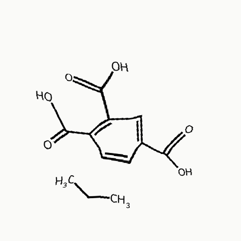 CCC.O=C(O)c1ccc(C(=O)O)c(C(=O)O)c1